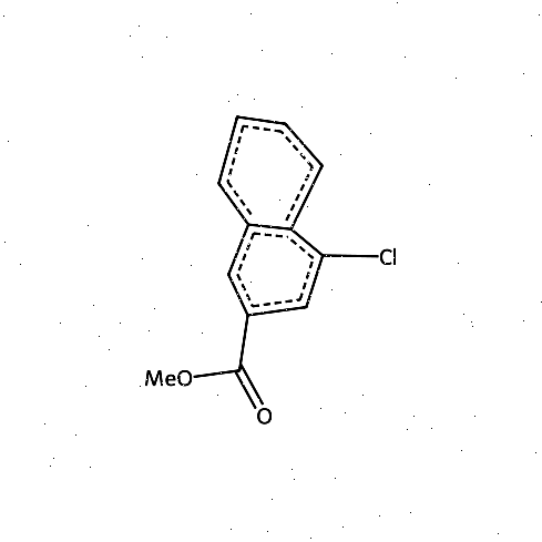 COC(=O)c1cc(Cl)c2ccccc2c1